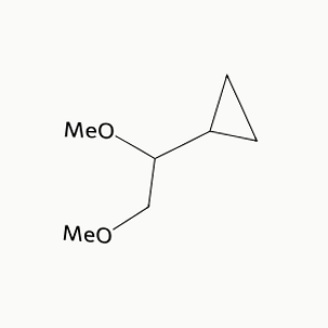 [CH2]OC(COC)C1CC1